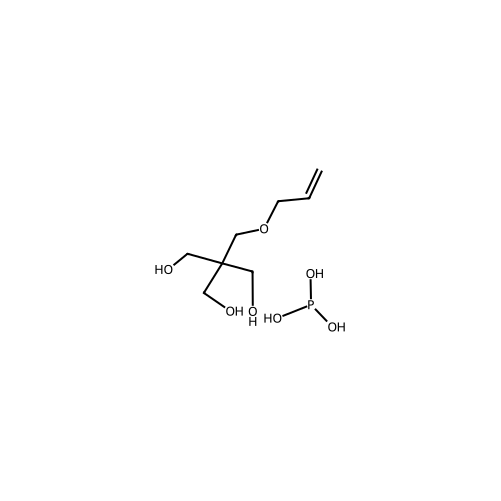 C=CCOCC(CO)(CO)CO.OP(O)O